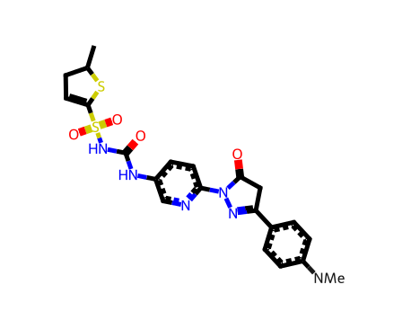 CNc1ccc(C2=NN(c3ccc(NC(=O)NS(=O)(=O)C4=CCC(C)S4)cn3)C(=O)C2)cc1